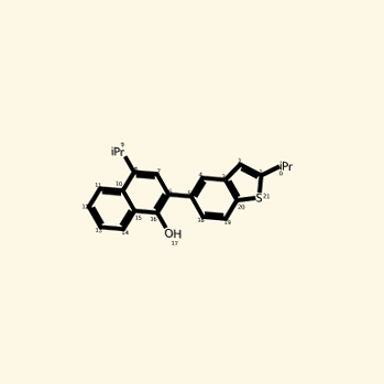 CC(C)c1cc2cc(-c3cc(C(C)C)c4ccccc4c3O)ccc2s1